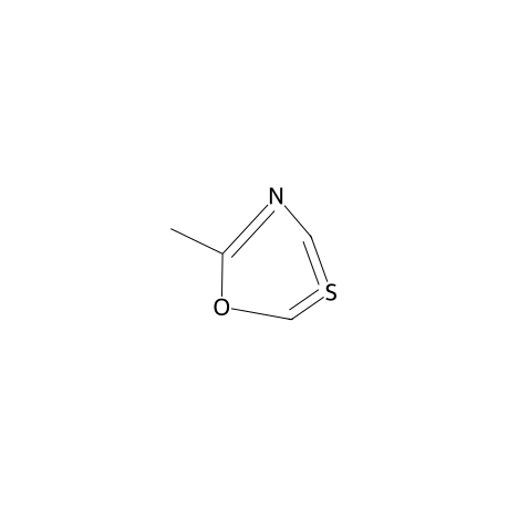 CC1=NC=S=CO1